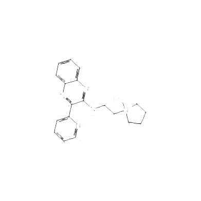 C[N+]1(CCNc2nc3ccccc3nc2-c2ccccn2)CCCC1